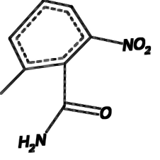 NC(=O)c1c(F)cccc1[N+](=O)[O-]